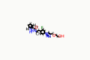 N#C[C@H](Cc1ccc(-n2cc(COCCO)nn2)cc1F)NC(=O)[C@H]1N[C@@H]2CC[C@H]1C2